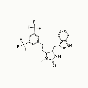 CN1C(=O)NC(Cc2c[nH]c3ccccc23)C1CCc1cc(C(F)(F)F)cc(C(F)(F)F)c1